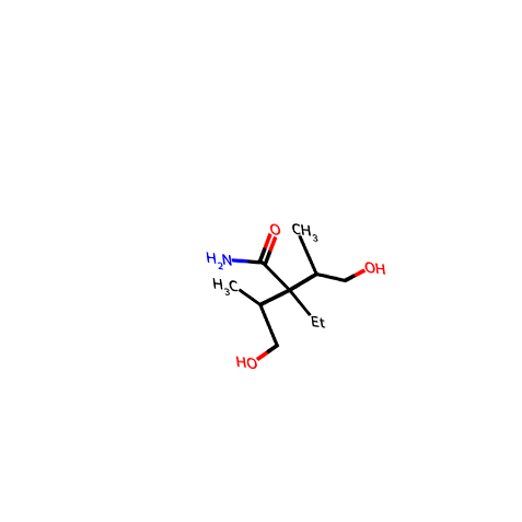 CCC(C(N)=O)(C(C)CO)C(C)CO